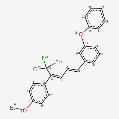 CCOc1ccc(C(=CC=Cc2cccc(Oc3ccccc3)c2)C(F)(F)Cl)cc1